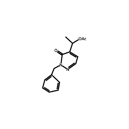 CC(=O)OC(C)c1ccnn(Cc2ccccc2)c1=O